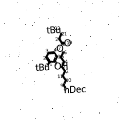 CC(C)(C)c1ccccc1O.CCCCCCCCCCCCCCCCCCOC(=O)CCC(C)(C)C